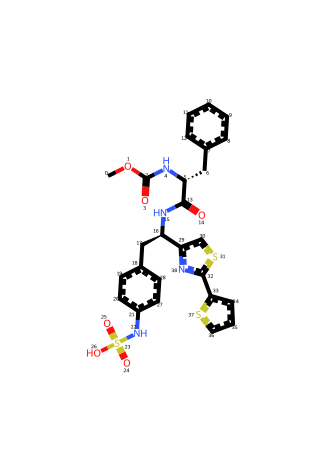 COC(=O)N[C@H](Cc1ccccc1)C(=O)N[C@H](Cc1ccc(NS(=O)(=O)O)cc1)c1csc(-c2cccs2)n1